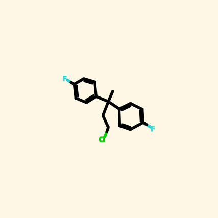 CC(CCCl)(c1ccc(F)cc1)c1ccc(F)cc1